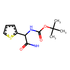 CC(C)(C)OC(=O)NC(C([NH])=O)c1cccs1